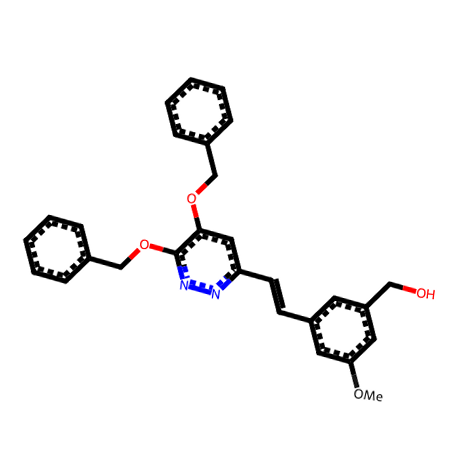 COc1cc(/C=C/c2cc(OCc3ccccc3)c(OCc3ccccc3)nn2)cc(CO)c1